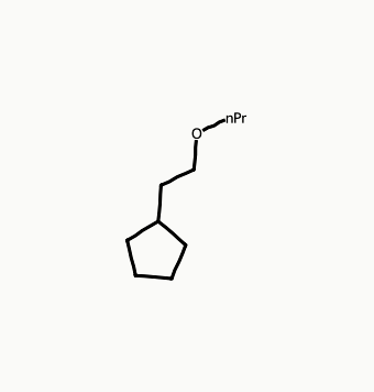 CCCOCCC1CCCC1